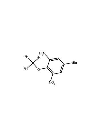 [2H]C([2H])([2H])Oc1c(N)cc(C(C)(C)C)cc1[N+](=O)[O-]